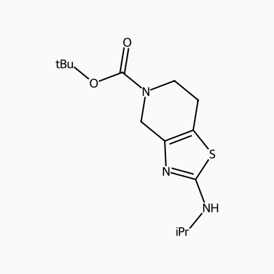 CC(C)Nc1nc2c(s1)CCN(C(=O)OC(C)(C)C)C2